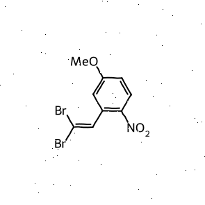 COc1ccc([N+](=O)[O-])c(C=C(Br)Br)c1